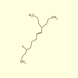 CCCC(I)CCC/C=C/C(CCC)CCC